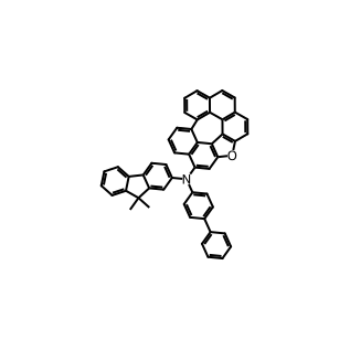 CC1(C)c2ccccc2-c2ccc(N(c3ccc(-c4ccccc4)cc3)c3cc4oc5ccc6ccc7cccc8c7c6c5c4c4c-8cccc34)cc21